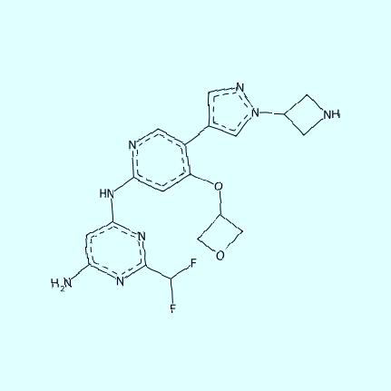 Nc1cc(Nc2cc(OC3COC3)c(-c3cnn(C4CNC4)c3)cn2)nc(C(F)F)n1